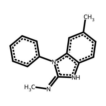 C/N=c1/[nH]c2ccc(C)cc2n1-c1ccccc1